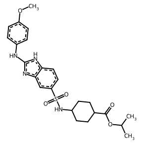 COc1ccc(Nc2nc3cc(S(=O)(=O)NC4CCC(C(=O)OC(C)C)CC4)ccc3[nH]2)cc1